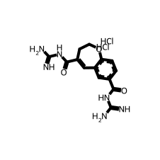 Cl.Cl.N=C(N)NC(=O)C1=Cc2cc(C(=O)NC(=N)N)ccc2OCC1